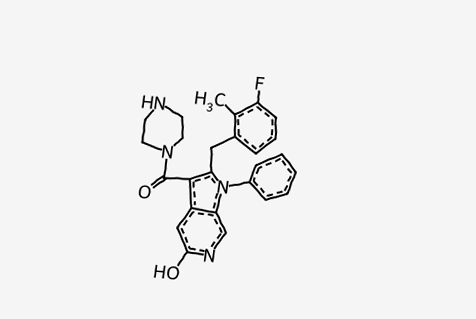 Cc1c(F)cccc1Cc1c(C(=O)N2CCNCC2)c2cc(O)ncc2n1-c1ccccc1